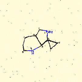 C1CC2CNC3(CC3)C2N1